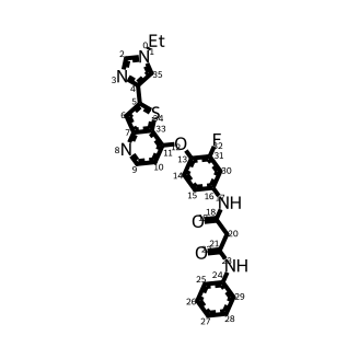 CCn1cnc(-c2cc3nccc(Oc4ccc(NC(=O)CC(=O)Nc5ccccc5)cc4F)c3s2)c1